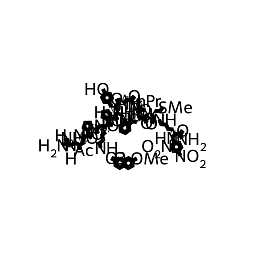 CCC[C@H](NC(=O)[C@H](C)NC(=O)[C@H](Cc1ccc(O)cc1)NC(=O)[C@@H]1CCCN1C(=O)[C@H](CCCCN)NC(=O)[C@@H]1CCCN1C(=O)[C@@H](N)CC(CNC(=N)N)C(C)=O)C(=O)N[C@@H](Cc1c[nH]c2ccccc12)C(=O)N[C@@H](CCSC)C(=O)NCCCC[C@H](Nc1ccc([N+](=O)[O-])cc1[N+](=O)[O-])C(N)=O.COc1ccc2ccc(=O)oc2c1